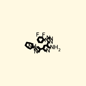 Nc1ncc(-c2cnn(C3CC4CCC(C3)N4)c2)cc1-c1nnnn1-c1cccc(F)c1F